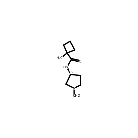 CC1(C(=O)N[C@H]2CCN(C=O)C2)CCC1